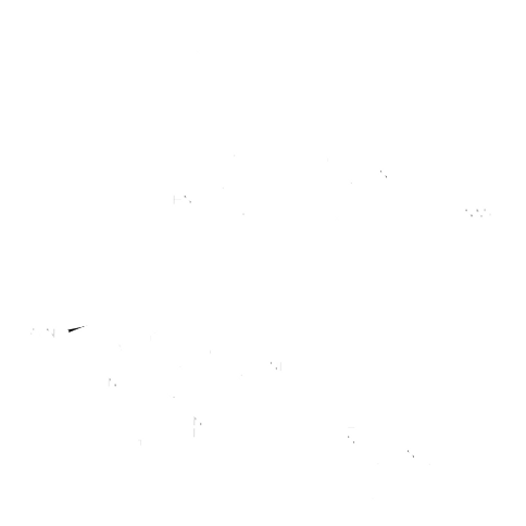 CNCCN(C)C(=O)OCc1ccc(NC(=O)[C@H](CCCNC(N)=O)NC(=O)[C@@H](NC(=O)[C@H](CCCCNC(=O)OCC2c3ccccc3-c3ccccc32)NC(C)=O)C(C)C)cc1